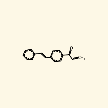 C=CC(=O)c1ccc(C=Cc2ccccc2)cc1